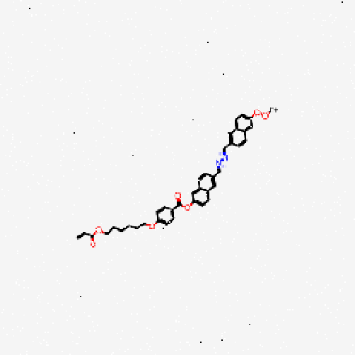 C=CC(=O)OCCCCCCOc1ccc(C(=O)Oc2ccc3cc(/C=N/N=C/c4ccc5cc(OOCC)ccc5c4)ccc3c2)cc1